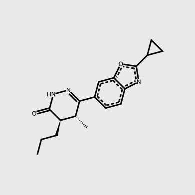 CCC[C@H]1C(=O)NN=C(c2ccc3nc(C4CC4)oc3c2)[C@@H]1C